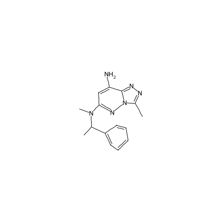 Cc1nnc2c(N)cc(N(C)C(C)c3ccccc3)nn12